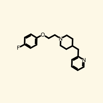 Fc1ccc(OCCN2CCC(Cc3ccccn3)CC2)cc1